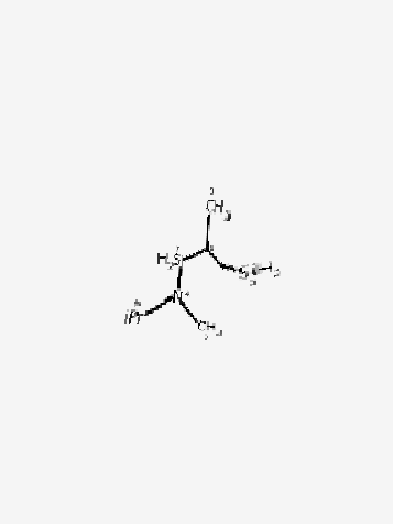 CC([SiH3])[SiH2]N(C)C(C)C